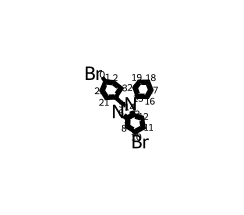 Brc1ccc(-c2nc3cc(Br)ccc3n2-c2ccccc2)cc1